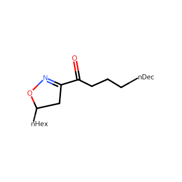 CCCCCCCCCCCCCC(=O)C1=NOC(CCCCCC)C1